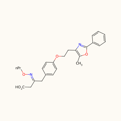 CCCON=C(CC(=O)O)Cc1ccc(OCCc2nc(-c3ccccc3)oc2C)cc1